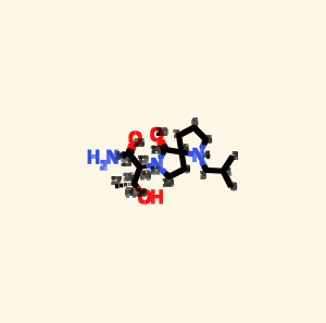 CC(C)CN1CCCC12CCN([C@H](C(N)=O)[C@@H](C)O)C2=O